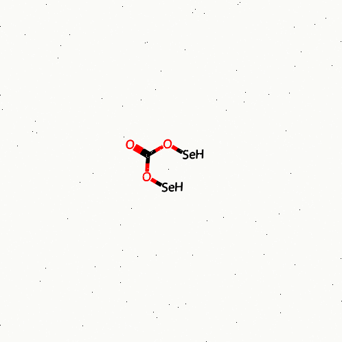 O=C(O[SeH])O[SeH]